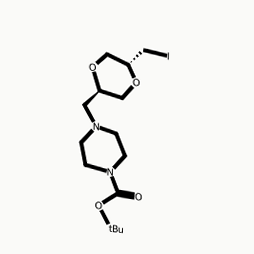 CC(C)(C)OC(=O)N1CCN(C[C@@H]2CO[C@@H](CI)CO2)CC1